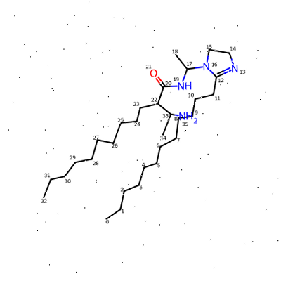 CCCCCCCCCCCCC1=NCCN1C(C)NC(=O)C(CCCCCCCCCC)C(C)N